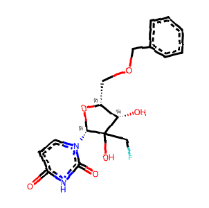 O=c1ccn([C@@H]2O[C@H](COCc3ccccc3)[C@H](O)C2(O)CF)c(=O)[nH]1